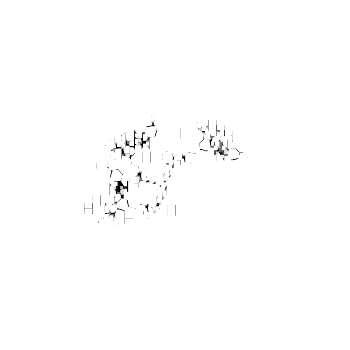 CC(COCC(COCC(C)OC(=O)CCc1cc(-n2nc3ccc(Cl)cc3n2)c(O)c(C(C)(C)C)c1)OCC(C)OC(=O)CCc1cc(-n2nc3ccc(Cl)cc3n2)c(O)c(C(C)(C)C)c1)OC(=O)CCc1cc(-n2nc3ccc(Cl)cc3n2)c(O)c(C(C)(C)C)c1